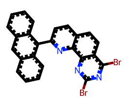 Brc1nc(Br)c2ccc3ccc(-c4c5ccccc5cc5ccccc45)nc3c2n1